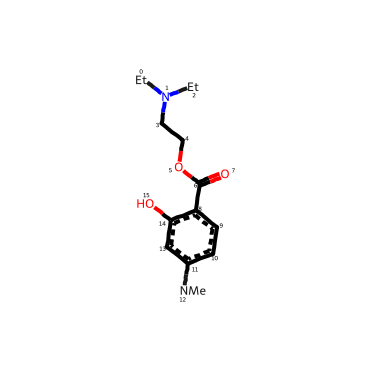 CCN(CC)CCOC(=O)c1ccc(NC)cc1O